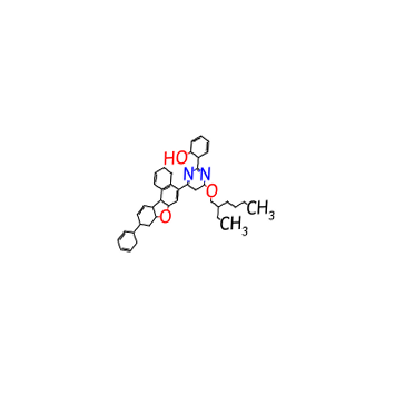 CCCCC(CC)COC1CC(C2=CC3OC4CC(C5C=CC=CC5)C=CC4C3C3=C2CCC=C3)=NC(C2C=CC=CC2O)=N1